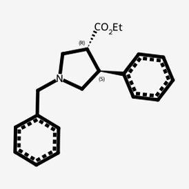 CCOC(=O)[C@H]1CN(Cc2ccccc2)C[C@@H]1c1ccccc1